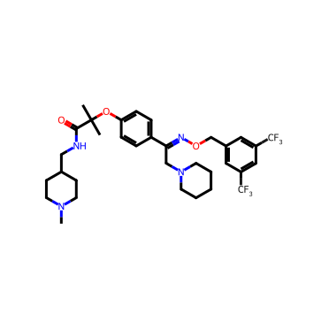 CN1CCC(CNC(=O)C(C)(C)Oc2ccc(C(CN3CCCCC3)=NOCc3cc(C(F)(F)F)cc(C(F)(F)F)c3)cc2)CC1